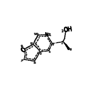 C[C@H](O)c1cc2ccoc2cn1